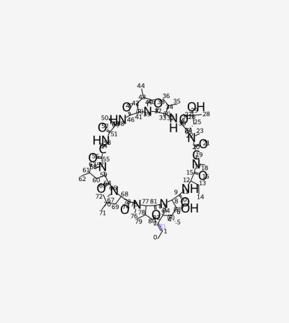 C/C=C/C[C@@H](C)[C@@H](O)C1C(=O)NC(CC)C(=O)N(C)CC(=O)N(C)[C@@H](CC(C)(C)O)C(=O)N[C@H](C(C)C)C(=O)N(C)[C@H](CC(C)C)C(=O)N[C@H](C)C(=O)NCC(=O)N(C)C(CC(C)C)C(=O)N(C)C(CC(C)C)C(=O)N(C)C(C(C)C)C(=O)N1C